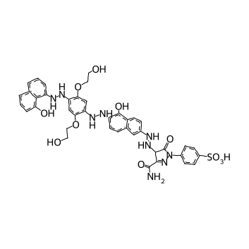 NC(=O)C1=NN(c2ccc(S(=O)(=O)O)cc2)C(=O)C1NNc1ccc2c(O)c(NNc3cc(OCCO)c(NNc4cccc5cccc(O)c45)cc3OCCO)ccc2c1